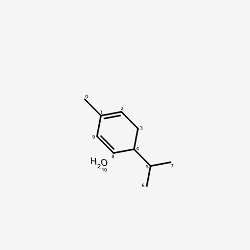 CC1=CCC(C(C)C)C=C1.O